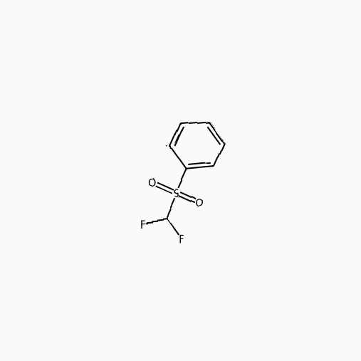 O=S(=O)(c1[c]cccc1)C(F)F